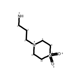 [NH]CCCN1CCS(=O)(=O)CC1